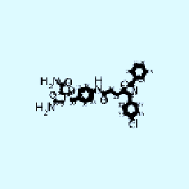 NC(=O)CP(=O)(CC(N)=O)Cc1ccc(NC(=O)CCc2oc(-c3ccccc3)nc2-c2ccc(Cl)cc2)cc1